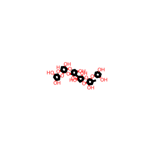 Cc1cc(O)c2c(c1Oc1cc(O)cc(O)c1)Oc1c(cc(O)c(-c3c(O)cc4c(c3O)Oc3c(Oc5cc(O)cc(O)c5)c(O)cc(O)c3O4)c1O)O2